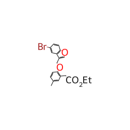 CCOC(=O)Cc1cc(C)ccc1OCc1coc2ccc(Br)cc12